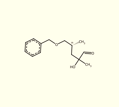 C[C@@H](COCc1ccccc1)CC(C)(O)C=O